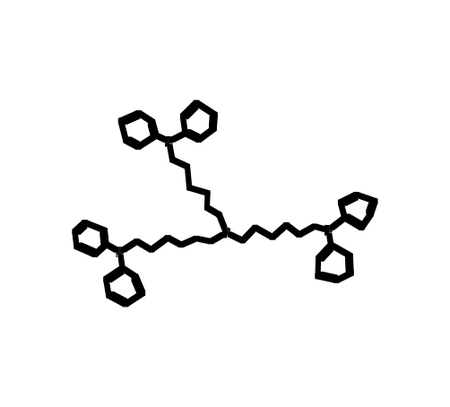 c1ccc(P(CCCCCCP(CCCCCCP(c2ccccc2)c2ccccc2)CCCCCCP(c2ccccc2)c2ccccc2)c2ccccc2)cc1